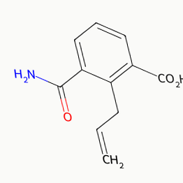 C=CCc1c(C(N)=O)cccc1C(=O)O